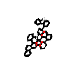 c1ccc(N(c2ccc(-c3cccc4oc5ccccc5c34)cc2)c2ccccc2-c2cccc3cccc(C4CCCCC4)c23)c(-c2cccc3c2ccc2ccccc23)c1